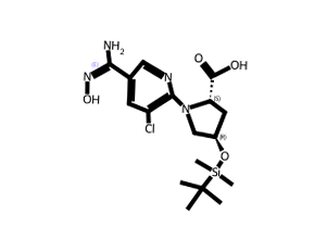 CC(C)(C)[Si](C)(C)O[C@@H]1C[C@@H](C(=O)O)N(c2ncc(/C(N)=N\O)cc2Cl)C1